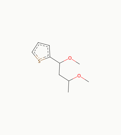 COC(C)CC(OC)c1cccs1